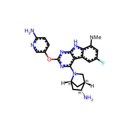 CNc1cc(F)cc2c1[nH]c1nc(Oc3ccc(N)nc3)nc(N3C[C@H]4C[C@@H]3C[C@H]4N)c12